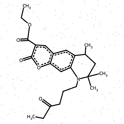 CCOC(=O)c1cc2cc3c(cc2oc1=O)N(CCCC(=O)CC)C(C)(C)CC3C